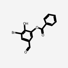 O=Cc1cc(Br)c(O)c(OC(=O)c2ccccc2)c1